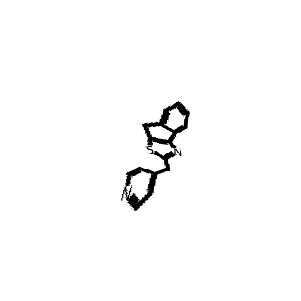 c1ccc2c(c1)Cc1sc(Cc3ccncc3)nc1-2